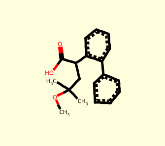 COC(C)(C)CC(C(=O)O)c1ccccc1-c1ccccc1